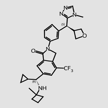 Cn1cnnc1[C@H](c1cccc(N2Cc3c(cc([C@H](NC4(C)CCC4)C4CC4)cc3C(F)(F)F)C2=O)c1)C1COC1